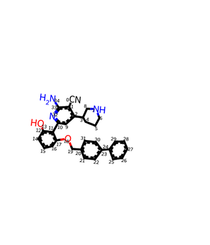 N#Cc1c(C2CCCNC2)cc(-c2c(O)cccc2OCc2ccc(-c3ccccc3)cc2)nc1N